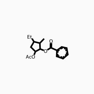 CCC1CC(OC(C)=O)C(OC(=O)c2ccccc2)C1C